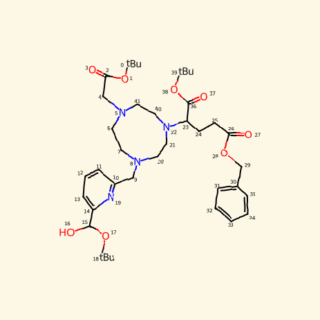 CC(C)(C)OC(=O)CN1CCN(Cc2cccc(C(O)OC(C)(C)C)n2)CCN(C(CCC(=O)OCc2ccccc2)C(=O)OC(C)(C)C)CC1